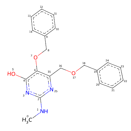 CNc1nc(O)c(OCc2ccccc2)c(COCc2ccccc2)n1